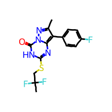 Cc1nn2c(=O)[nH]c(SCC(C)(F)F)nc2c1-c1ccc(F)cc1